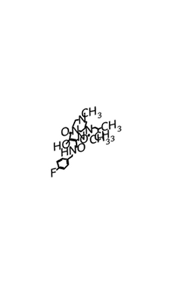 CC(=O)N(CC(C)C)C1CN(C)CCn2c1nc(C(=O)NCc1ccc(F)cc1)c(O)c2=O